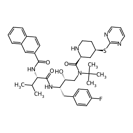 CC(C)[C@H](NC(=O)c1ccc2ccccc2c1)C(=O)N[C@@H](Cc1ccc(F)cc1)[C@H](O)CN(C(=O)[C@@H]1C[C@H](Sc2ncccn2)CCN1)C(C)(C)C